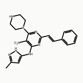 Cc1cc(Nc2nc(C=Cc3ccccc3)nc(N3CCNCC3)c2[N+](=O)[O-])[nH]n1